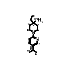 CCC1(P)CCN(c2ccc(C(C)C)cn2)CC1